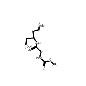 CSCCC(CS(=O)(=O)O)NC(=O)CNC(=O)OC(C)(C)C